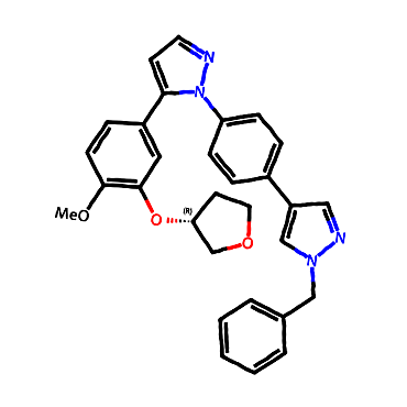 COc1ccc(-c2ccnn2-c2ccc(-c3cnn(Cc4ccccc4)c3)cc2)cc1O[C@@H]1CCOC1